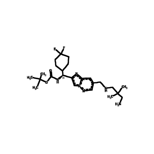 CC(C)(CN)CNCc1cnn2cc([C@@H](NC(=O)OC(C)(C)C)C3CCC(F)(F)CC3)nc2c1